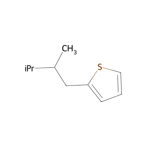 CC(C)C(C)Cc1cccs1